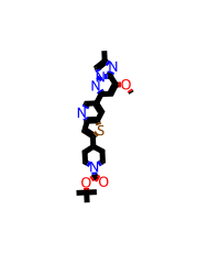 COc1cc(-c2cnc3cc(C4CCN(C(=O)OC(C)(C)C)CC4)sc3c2)nn2cc(C)nc12